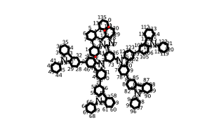 c1ccc(-c2cccc(-c3ccccc3)c2-c2nc(-c3cc(-n4c5ccc(-c6ccc7c(c6)c6ccccc6n7-c6ccccc6)cc5c5cc(-c6ccc7c(c6)c6ccccc6n7-c6ccccc6)ccc54)cc(-n4c5ccc(-c6ccc7c(c6)c6ccccc6n7-c6ccccc6)cc5c5cc(-c6ccc7c(c6)c6ccccc6n7-c6ccccc6)ccc54)c3)nc3ccccc23)cc1